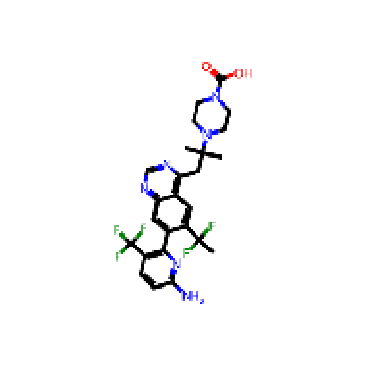 CC(F)(F)c1cc2c(CC(C)(C)N3CCN(C(=O)O)CC3)ncnc2cc1-c1nc(N)ccc1C(F)(F)F